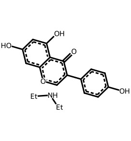 CCNCC.O=c1c(-c2ccc(O)cc2)coc2cc(O)cc(O)c12